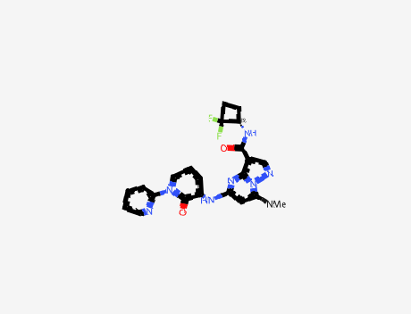 CNc1cc(Nc2cccn(-c3ccccn3)c2=O)nc2c(C(=O)N[C@H]3CCC3(F)F)cnn12